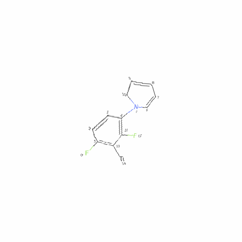 Fc1ccc(N2C=CC=CC2)c(F)[c]1[Ti]